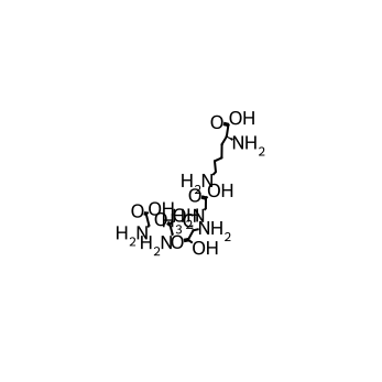 C[C@H](N)C(=O)O.NCC(=O)O.NCC(=O)O.NCC(=O)O.NCCCC[C@H](N)C(=O)O